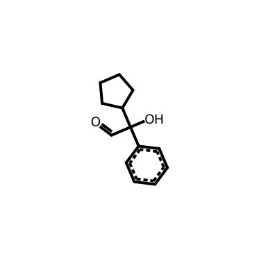 O=CC(O)(c1ccccc1)C1CCCC1